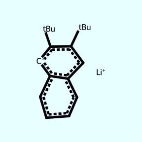 CC(C)(C)c1[c-]c2ccccc2cc1C(C)(C)C.[Li+]